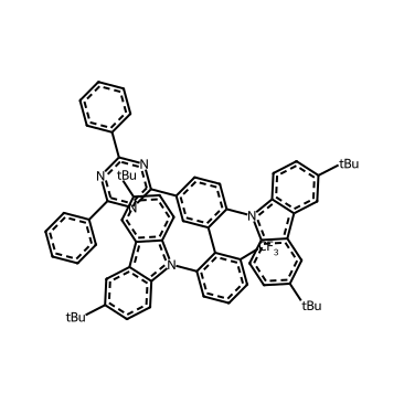 CC(C)(C)c1ccc2c(c1)c1cc(C(C)(C)C)ccc1n2-c1ccc(-c2nc(-c3ccccc3)nc(-c3ccccc3)n2)cc1-c1c(-n2c3ccc(C(C)(C)C)cc3c3cc(C(C)(C)C)ccc32)cccc1C(F)(F)F